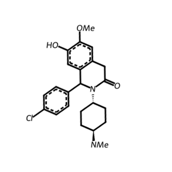 CN[C@H]1CC[C@H](N2C(=O)Cc3cc(OC)c(O)cc3C2c2ccc(Cl)cc2)CC1